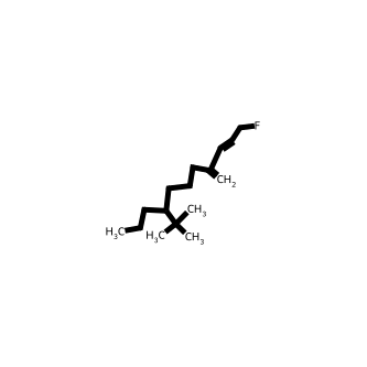 C=C(/C=C/CF)CCCC(CCC)C(C)(C)C